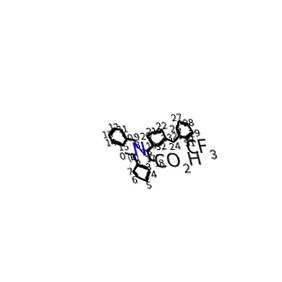 C[C@H](c1ccccc1)N(Cc1ccccc1)C(CC(=O)O)c1cccc(Cc2ccccc2C(F)(F)F)c1